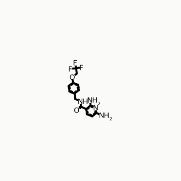 Nc1ccc(C(=O)NCc2ccc(OCC(F)(F)F)cc2)c(N)n1